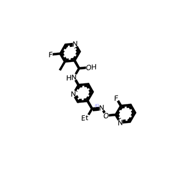 CC/C(=N\Oc1ncccc1F)c1ccc(NC(O)c2cncc(F)c2C)nc1